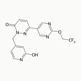 O=c1ccc(-c2cnc(OCC(F)(F)F)nc2)nn1Cc1ccnc(O)c1